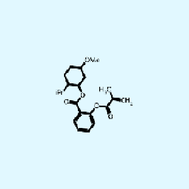 C=C(C)C(=O)Oc1ccccc1C(=O)OC1CC(OC)CCC1C(C)C